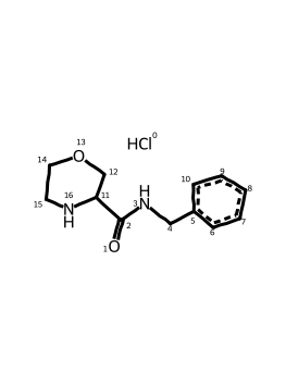 Cl.O=C(NCc1ccccc1)C1COCCN1